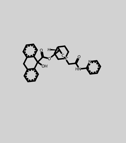 O=C(C[N+]12CCC(CC1)[C@@H](OC(=O)C1(O)c3ccccc3Cc3ccccc31)C2)Nc1ccccn1